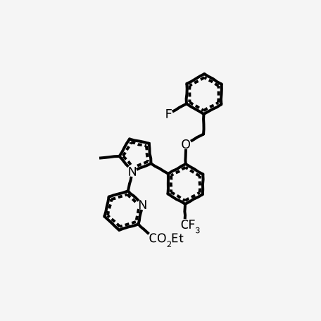 CCOC(=O)c1cccc(-n2c(C)ccc2-c2cc(C(F)(F)F)ccc2OCc2ccccc2F)n1